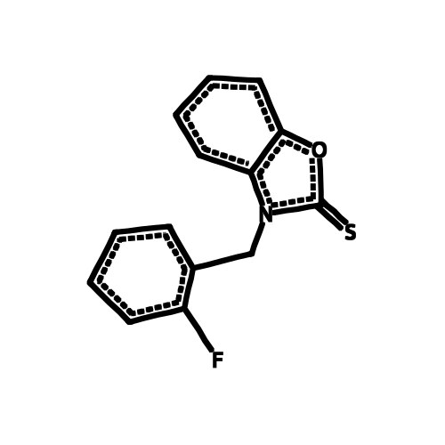 Fc1ccccc1Cn1c(=S)oc2ccccc21